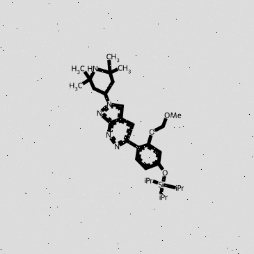 COCOc1cc(O[Si](C(C)C)(C(C)C)C(C)C)ccc1-c1cc2cn(C3CC(C)(C)NC(C)(C)C3)nc2nn1